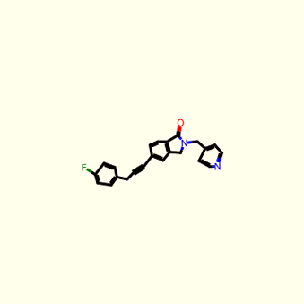 O=C1c2ccc(C#CCc3ccc(F)cc3)cc2CN1Cc1ccncc1